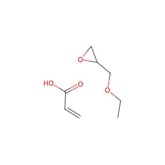 C=CC(=O)O.CCOCC1CO1